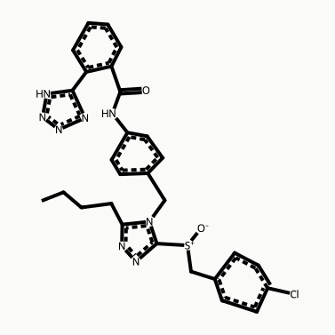 CCCCc1nnc([S+]([O-])Cc2ccc(Cl)cc2)n1Cc1ccc(NC(=O)c2ccccc2-c2nnn[nH]2)cc1